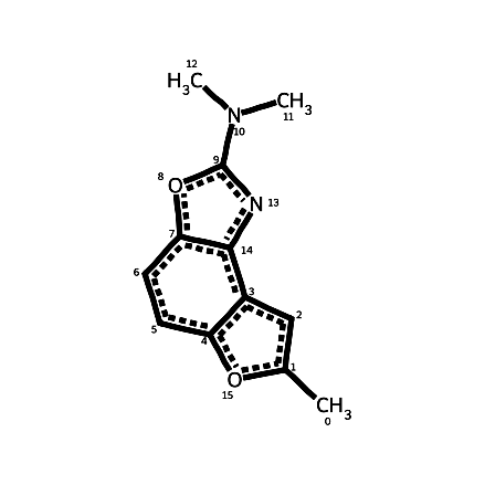 Cc1cc2c(ccc3oc(N(C)C)nc32)o1